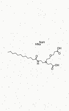 CCCCCCCCCCCC(=O)NCCN(CCOCCC(=O)O)CCC(=O)O.[NaH].[NaH]